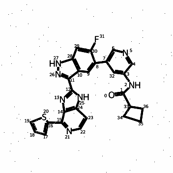 O=C(Nc1cncc(-c2cc3c(-c4nc5c(-c6cccs6)nccc5[nH]4)n[nH]c3cc2F)c1)C1CCC1